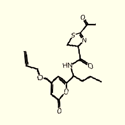 C=CCOc1cc(C(CCC)NC(=O)C2CSC(C(C)=O)=N2)oc(=O)c1